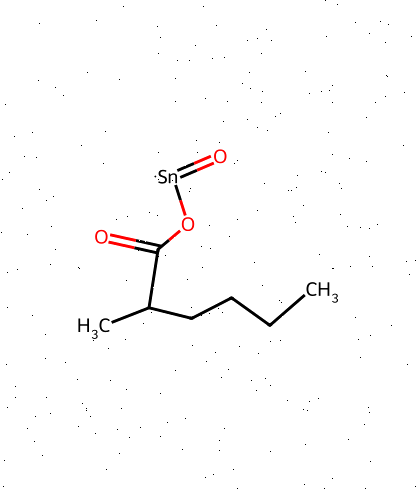 CCCCC(C)C(=O)[O][Sn]=[O]